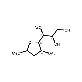 COC1C[C@H](OC(C)=O)[C@@H]([C@@H](OC(C)=O)[C@H](O)CO)O1